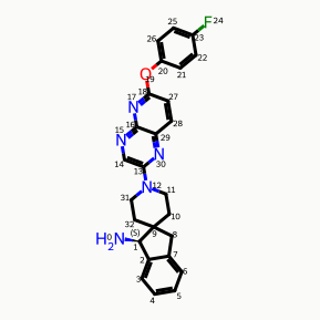 N[C@@H]1c2ccccc2CC12CCN(c1cnc3nc(Oc4ccc(F)cc4)ccc3n1)CC2